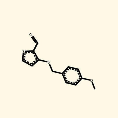 COc1ccc(CSc2ccsc2C=O)cc1